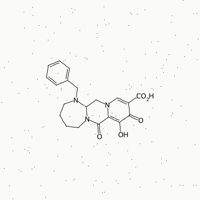 O=C(O)c1cn2c(c(O)c1=O)C(=O)N1CCCCN(Cc3ccccc3)C1C2